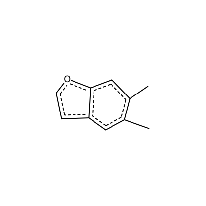 Cc1cc2ccoc2cc1C